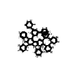 c1ccc(-c2cc(-c3ccccc3)cc(-c3c4c5ccccc5n5c6ccccc6c(c45)c4c3c3cc5c(c6c7ccccc7n4c36)-c3ccccc3-c3ccccc3-c3ccccc3-5)c2)cc1